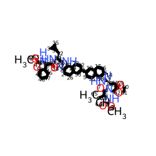 COC(=O)N[C@H](C(=O)N1CC2(C[C@H]1c1nc3ccc4cc(-c5ccc6c(ccc7nc([C@H](CC8CC8)NC(=O)[C@H](NC(=O)OC)c8ccccc8)[nH]c76)c5)ccc4c3[nH]1)OCCO2)C(C)C